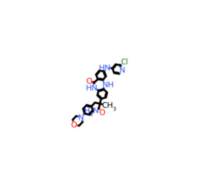 CC(Cc1ccc(N2CCOCC2)cc1)(C(N)=O)c1ccc2c(c1)NC(=O)c1ccc(Nc3ccnc(Cl)c3)cc1N2